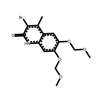 COCOc1cc2[nH]c(=O)c(Br)c(C)c2cc1OCOC